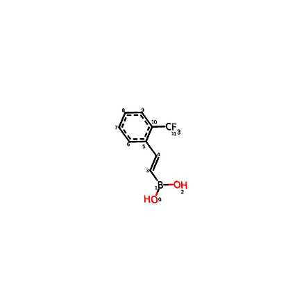 OB(O)C=Cc1ccccc1C(F)(F)F